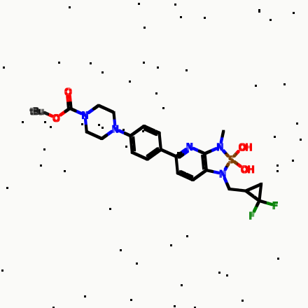 CN1c2nc(-c3ccc(N4CCN(C(=O)OC(C)(C)C)CC4)cc3)ccc2N(CC2CC2(F)F)S1(O)O